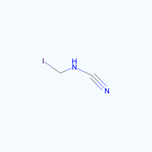 N#CNCI